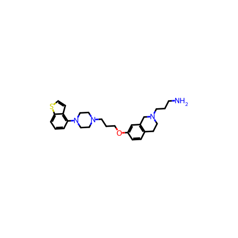 NCCCN1CCc2ccc(OCCCN3CCN(c4cccc5sccc45)CC3)cc2C1